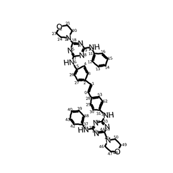 C(=Cc1ccc(Nc2nc(Nc3ccccc3)nc(N3CCOCC3)n2)cc1)c1ccc(Nc2nc(Nc3ccccc3)nc(N3CCOCC3)n2)cc1